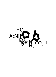 CC(=O)Nc1c(O)cccc1[As](=O)(O)O.Cc1ccc(C(=O)O)c(N)c1